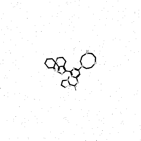 C[C@H](Oc1cc(N2CCNCCOCC2)nc(-c2onc3c2CCC[C@@]32CCCCC2=O)n1)[C@@H]1CCCN1C